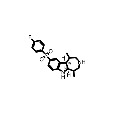 CC1CNCC(C)[C@@H]2c3cc(S(=O)(=O)c4ccc(F)cc4)ccc3N[C@H]12